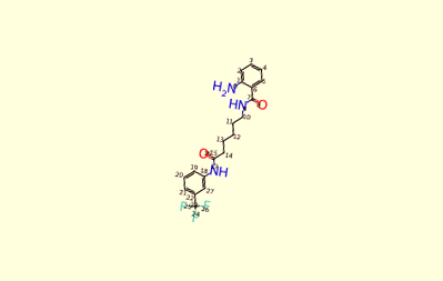 Nc1ccccc1C(=O)NCCCCCC(=O)Nc1cccc(C(F)(F)F)c1